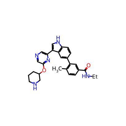 CCNC(=O)c1ccc(C)c(-c2ccc3[nH]cc(-c4cncc(OC5CCCNC5)n4)c3c2)c1